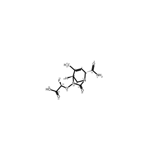 CC1=C[C@H](C(N)=O)N2C[C@@H]1N(O[C@H](F)C(=O)O)C2=O